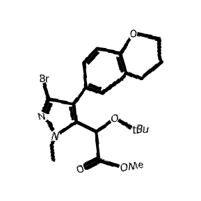 COC(=O)C(OC(C)(C)C)c1c(-c2ccc3c(c2)CCCO3)c(Br)nn1C